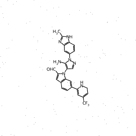 Cc1nc2cc(-n3ncc(-n4c(C=O)cc5ccc(C6=CC(C(F)(F)F)=CCN6)cc54)c3N)ccc2[nH]1